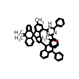 Cc1cc(C2=NC(c3c#cccc3)=NC(c3ccccc3)N2)c2c(c1)C1(c3ccccc3C(C)(C)C3C=CC=CC31)C1C=CC(C3=c4ccccc4=C(c4ccccc4)C4=CC=CC(C)C43)=CC21